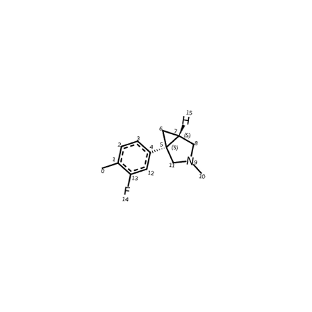 Cc1ccc([C@]23C[C@@H]2CN(C)C3)cc1F